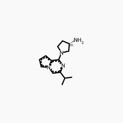 CC(C)c1cn2cccc2c(N2CC[C@H](N)C2)n1